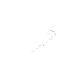 NCCC[C@H](N)C(=O)NCC1OC2OCCCOC1C(O)C2O